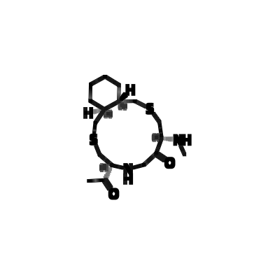 CN[C@H]1CSC[C@H]2CCCC[C@@H]2CSC[C@@H](C(C)=O)NCC1=O